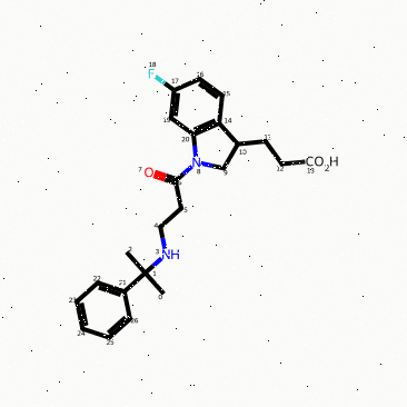 CC(C)(NCCC(=O)N1CC(CCC(=O)O)c2ccc(F)cc21)c1ccccc1